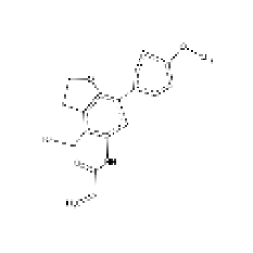 C=CC(=O)Nc1cc(-c2ccc(OC(F)(F)F)cc2)c2c(c1CO)CCO2